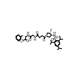 CC(C)c1cc(C(C)C)c(S(=O)(=O)N[C@H]2CN(C(=O)CCC(=O)NCC(=O)N[C@@H](Cc3ccccc3)C(N)=O)C[C@@H]2F)c(C(C)C)c1